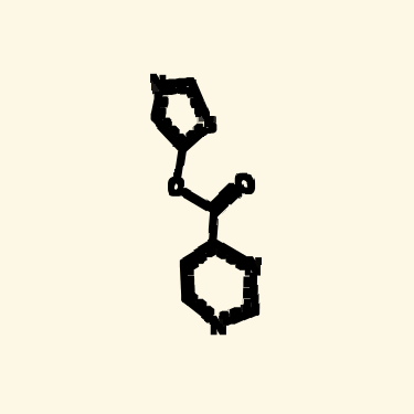 O=C(Oc1cncs1)c1ccncn1